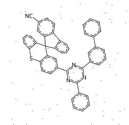 N#Cc1ccc2c(c1)C1(c3ccccc3Sc3ccc(-c4nc(-c5ccccc5)nc(-c5cccc(-c6ccccc6)c5)n4)cc31)c1ccccc1-2